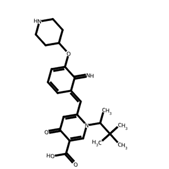 CC(n1cc(C(=O)O)c(=O)cc1/C=C1\C=CC=C(OC2CCNCC2)C1=N)C(C)(C)C